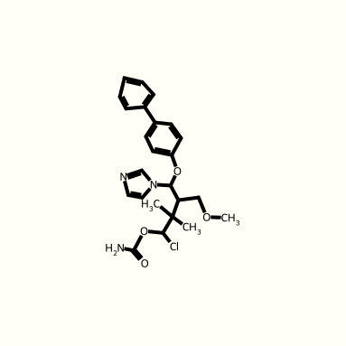 COCC(C(Oc1ccc(-c2ccccc2)cc1)n1ccnc1)C(C)(C)C(Cl)OC(N)=O